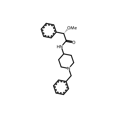 CO[C@H](C(=O)NC1CCN(Cc2ccccc2)CC1)c1ccccc1